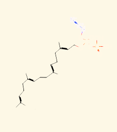 CC(C)=CCCC(C)=CCCC(C)=CCCC(C)=CCOP(=O)(ON=[N+]=[N-])OP(=O)(O)O